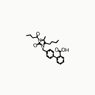 CCCCc1c(C)n(C(=O)CCC)c(=O)n1Cc1ccc(-c2ccccc2C(=O)O)cc1